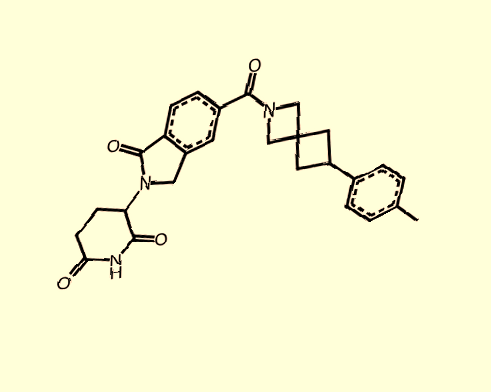 Cc1ccc(C2CC3(C2)CN(C(=O)c2ccc4c(c2)CN(C2CCC(=O)NC2=O)C4=O)C3)cc1